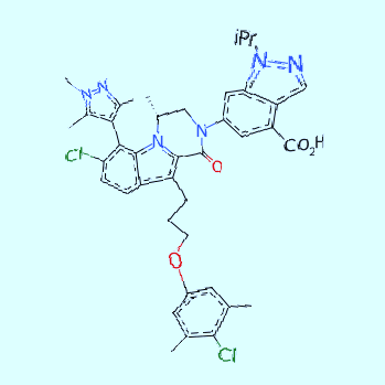 Cc1cc(OCCCc2c3n(c4c(-c5c(C)nn(C)c5C)c(Cl)ccc24)[C@H](C)CN(c2cc(C(=O)O)c4cnn(C(C)C)c4c2)C3=O)cc(C)c1Cl